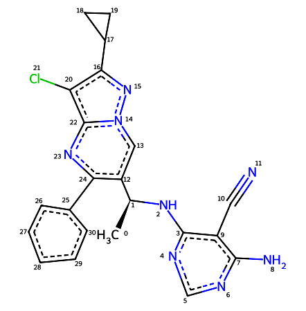 C[C@H](Nc1ncnc(N)c1C#N)c1cn2nc(C3CC3)c(Cl)c2nc1-c1ccccc1